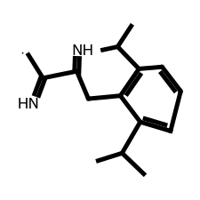 [CH2]C(=N)C(=N)Cc1c(C(C)C)cccc1C(C)C